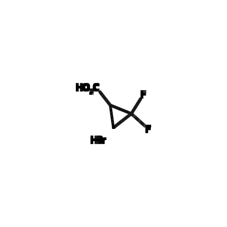 Br.O=C(O)C1CC1(F)F